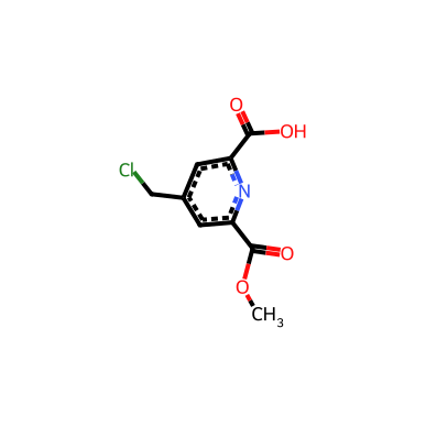 COC(=O)c1cc(CCl)cc(C(=O)O)n1